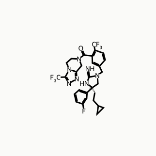 N=C1N[C@](CCC2CC2)(c2cccc(F)c2)CN1Cc1ccc(C(F)(F)F)c(C(=O)N2CCn3c(nnc3C(F)(F)F)C2)c1